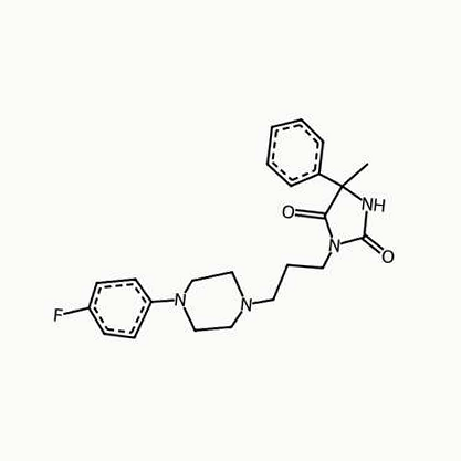 CC1(c2ccccc2)NC(=O)N(CCCN2CCN(c3ccc(F)cc3)CC2)C1=O